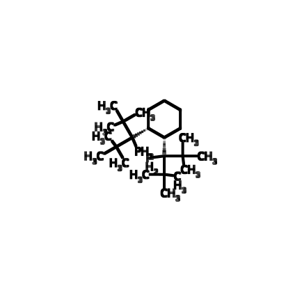 CC(C)(C)C(P)([C@@H]1CCCC[C@@H]1C(P)(C(C)(C)C)C(C)(C)C)C(C)(C)C